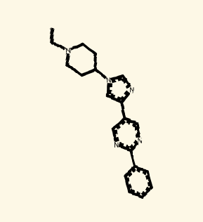 CCN1CCC(n2cnc(-c3cnc(-c4ccccc4)nc3)c2)CC1